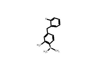 Cc1cc(Cc2ccccc2F)ccc1N(C)C